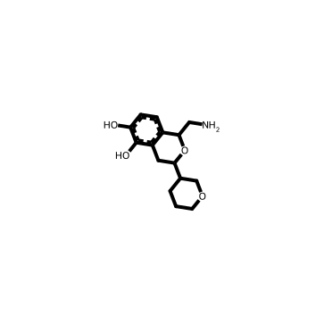 NCC1OC(C2CCCOC2)Cc2c1ccc(O)c2O